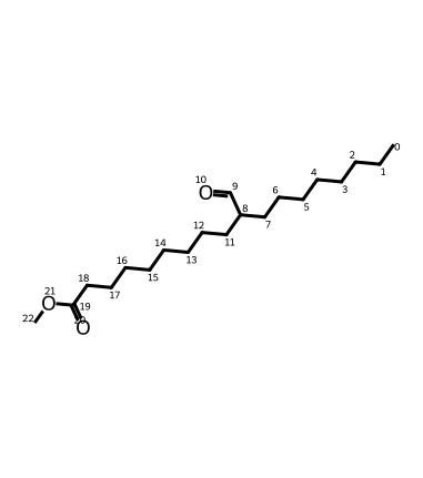 CCCCCCCCC(C=O)CCCCCCCCC(=O)OC